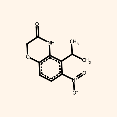 CC(C)c1c([N+](=O)[O-])ccc2c1NC(=O)CO2